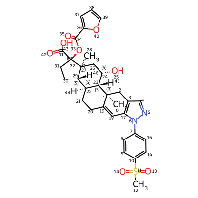 C[C@]12Cc3cnn(-c4ccc(S(C)(=O)=O)cc4)c3C=C1CC[C@@H]1[C@@H]2[C@@H](O)C[C@@]2(C)[C@H]1CC[C@]2(OC(=O)c1ccco1)C(=O)O